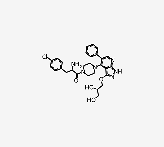 N[C@H](Cc1ccc(Cl)cc1)C(=O)N1CCN(c2c(-c3ccccc3)cnc3[nH]nc(OC[C@H](O)CO)c23)CC1